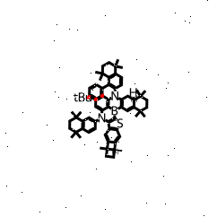 CC1(C)CCC(C)(C)[C@@H]2CC3=C(C=C21)B1c2sc4cc5c(cc4c2N(c2ccc4c(c2)C(C)(C)CCC4(C)C)c2cc(C(C)(C)C)cc(c21)N3c1ccc2c(c1-c1ccccc1)C(C)(C)CCC2(C)C)C1(C)CC[C@@]51C